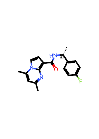 Cc1cc(C)n2ccc(C(=O)N[C@H](C)c3ccc(F)cc3)c2n1